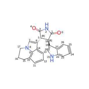 O=C1NC(=O)[C@@H](c2cn3c4c(cccc24)CCC3)[C@@H]1c1c[nH]c2cc#ccc12